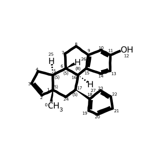 C[C@@]12C=CC[C@H]1[C@@H]1CCc3cc(O)ccc3[C@H]1[C@@H](c1ccccc1)C2